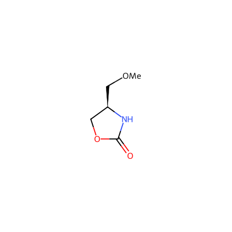 COC[C@@H]1COC(=O)N1